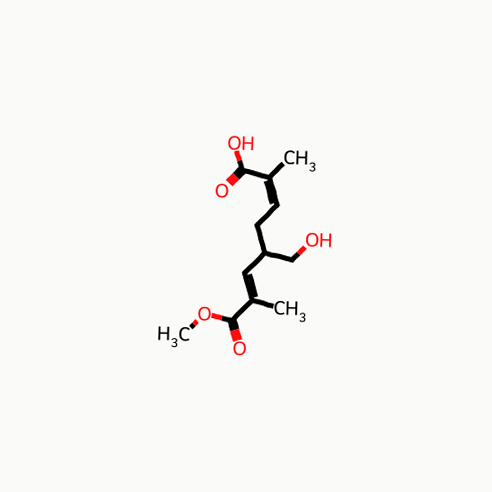 COC(=O)C(C)=CC(CO)CC=C(C)C(=O)O